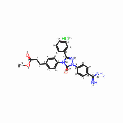 CC(C)OC(=O)CCc1ccc(-n2c(-c3ccccc3)nn(-c3ccc(C(=N)N)cc3)c2=O)cc1.Cl